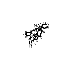 C[C@@H]1NC[C@@H](c2ccccc2)S(=O)(=O)C1Cc1ccc(C2(C(=N)NO)CCOCC2)cc1F